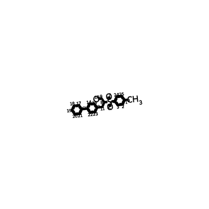 Cc1ccc(S(=O)(=O)C(C=O)Cc2ccc(-c3ccccc3)cc2)cc1